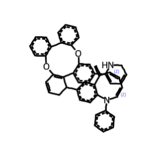 C=C1/C=C\C=C/N(c2ccccc2)c2ccc(C3CC=CC4=C3c3ccc(C5=CC=CCN5)cc3Oc3ccccc3-c3ccccc3O4)cc21